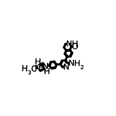 CN1C[C@@H]2C[C@H]1CN2c1ccc(-c2cnc(N)c(-c3ccc4c(c3)CCNC4=O)c2)cc1